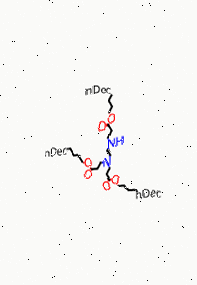 CCCCCCCCCCCCCCOC(=O)CCNCCN(CCC(=O)OCCCCCCCCCCCCCC)CCC(=O)OCCCCCCCCCCCCCC